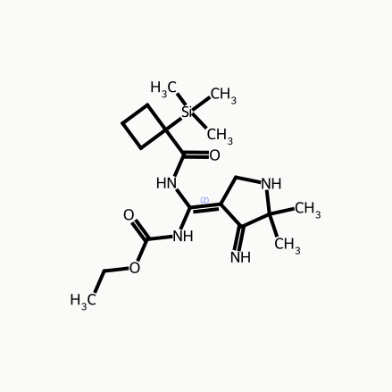 CCOC(=O)N/C(NC(=O)C1([Si](C)(C)C)CCC1)=C1/CNC(C)(C)C1=N